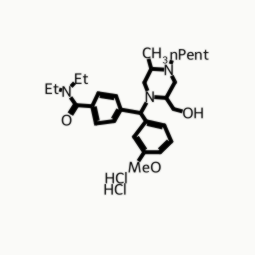 CCCCCN1CC(CO)N(C(c2ccc(C(=O)N(CC)CC)cc2)c2cccc(OC)c2)CC1C.Cl.Cl